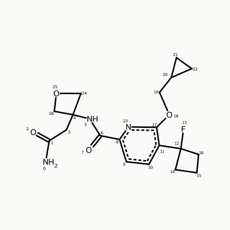 NC(=O)CC1(NC(=O)c2ccc(C3(F)CCC3)c(OCC3CC3)n2)COC1